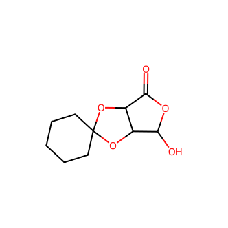 O=C1OC(O)C2OC3(CCCCC3)OC12